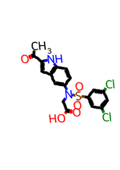 CC(=O)c1cc2cc(N(CC(=O)O)S(=O)(=O)c3cc(Cl)cc(Cl)c3)ccc2[nH]1